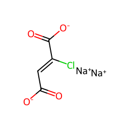 O=C([O-])C=C(Cl)C(=O)[O-].[Na+].[Na+]